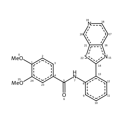 COc1ccc(C(=O)Nc2ccccc2-c2nc3ccncc3s2)cc1OC